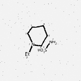 CCN1CCCCC1.NS(=O)(=O)O